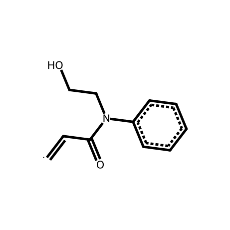 [CH]=CC(=O)N(CCO)c1ccccc1